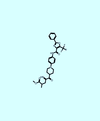 COC(=O)C(C)CC(=N)C(=O)C1CCN(c2ccc(NC(=O)c3nc(-c4ccccc4)oc3C(F)(F)F)cc2)CC1